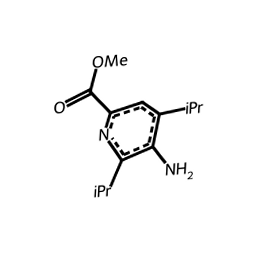 COC(=O)c1cc(C(C)C)c(N)c(C(C)C)n1